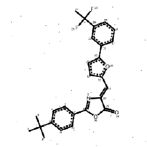 CC(C)(C)c1ccc(C2=N/C(=C\c3ccc(-c4cccc(C(C)(F)F)c4)o3)C(=O)O2)cc1